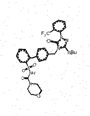 CCCCc1nn(-c2ccccc2C(F)(F)F)c(=O)n1Cc1ccc(-c2ccccc2S(=O)(=O)NC(=O)N2CCOCC2)cc1